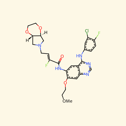 COCCOc1cc2ncnc(Nc3ccc(F)c(Cl)c3)c2cc1NC(=O)/C(F)=C/CN1C[C@@H]2OCCO[C@H]2C1